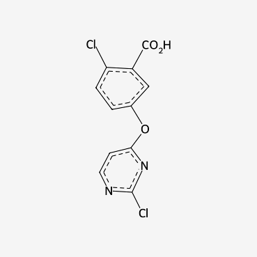 O=C(O)c1cc(Oc2ccnc(Cl)n2)ccc1Cl